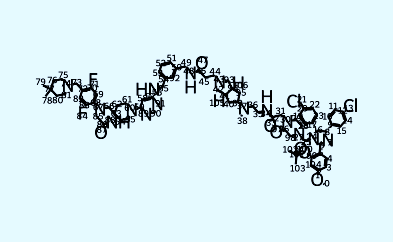 COc1ccc(C2=N[C@@H](c3ccc(Cl)cc3)[C@@H](c3ccc(Cl)cc3)N2C(=O)N2CCN(CC(=O)NCCN(C)[C@@H]3C[C@@H]4CN(CCC(=O)NCc5cccc(CNc6cc(N7CCC8(CC7)CN(c7cc(F)c(CN9CCC(C)(C)CC9)cc7F)CC(=O)N8)ncn6)c5)C[C@@H]4C3)C(=O)C2)c(OC(C)C)c1